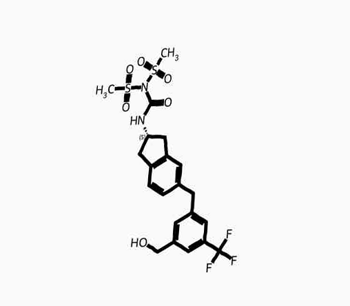 CS(=O)(=O)N(C(=O)N[C@H]1Cc2ccc(Cc3cc(CO)cc(C(F)(F)F)c3)cc2C1)S(C)(=O)=O